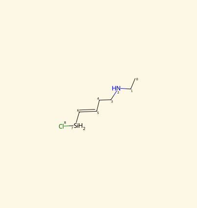 CCNCCC=C[SiH2]Cl